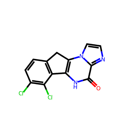 O=c1[nH]c2c(n3ccnc13)Cc1ccc(Cl)c(Cl)c1-2